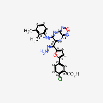 Cc1cccc(Nc2nc3nonc3nc2C(=NN)c2ccc(-c3ccc(Cl)c(C(=O)O)c3)o2)c1C